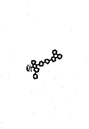 c1ccc(-c2ccc3c(-c4ccc(-c5ccc(-c6ccc7c8ccccc8c8ccccc8c7c6)cc5)cc4)c4ccccc4c(-c4ncccn4)c3c2)cc1